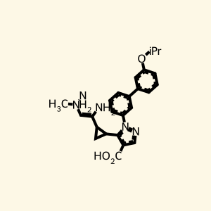 CC(C)Oc1cccc(-c2cccc(-n3ncc(C(=O)O)c3C3CC3/C(N)=C/N(C)N)c2)c1